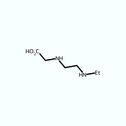 CCNCCNCC(=O)O